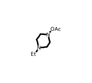 CCN1CCN(OC(C)=O)CC1